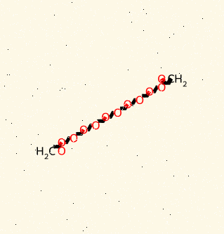 C=CC(=O)OCCOCCOCCOCCOCCOCCOCCOCCOCCOC(=O)C=C